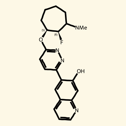 CNC1CCCC[C@H](Oc2ccc(-c3cc4cccnc4cc3O)nn2)[C@@H]1F